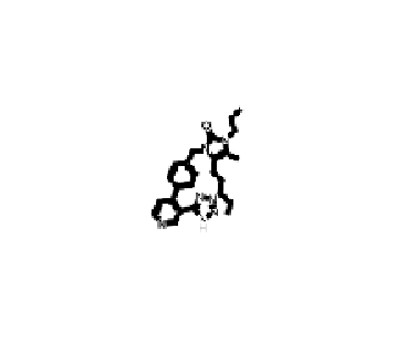 CCCCCc1c(C)n(CCC)c(=O)n1Cc1ccc(-c2ccncc2-c2nnn[nH]2)cc1